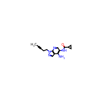 CC#CCCn1ncc2c(N)c(NC(=O)C3CC3)cnc21